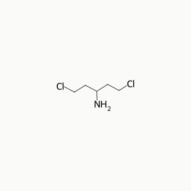 NC(CCCl)CCCl